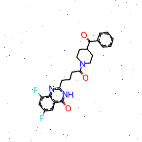 O=C(c1ccccc1)C1CCN(C(=O)CCCc2nc3c(F)cc(F)cc3c(=O)[nH]2)CC1